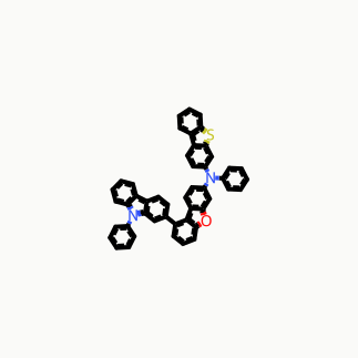 c1ccc(N(c2ccc3c(c2)oc2cccc(-c4ccc5c6ccccc6n(-c6ccccc6)c5c4)c23)c2ccc3c(c2)sc2ccccc23)cc1